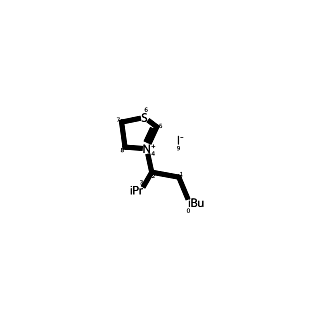 CCC(C)CC(C(C)C)[N+]1=CSCC1.[I-]